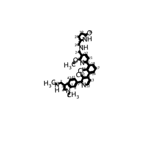 CNCc1cn(C)c2cc(-c3nccc(-c4cccc(-c5ccc(CNCC6CCC(=O)N6)c(OC)n5)c4Cl)c3Cl)ccc12